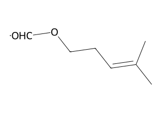 CC(C)=CCCO[C]=O